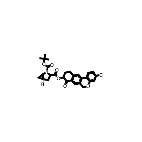 CC(C)(C)OC(=O)N1C(C(=O)OC2CCc3cc4c(cc3C2=O)COc2cc(Cl)ccc2-4)C[C@H]2CC21